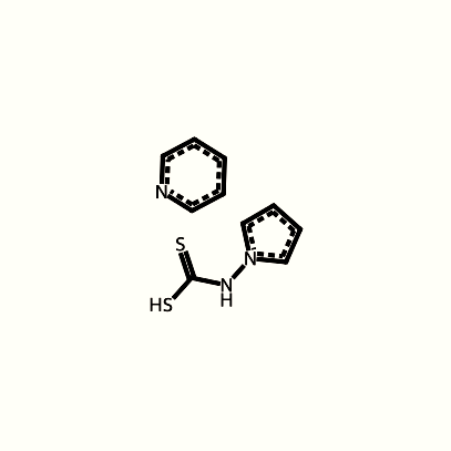 S=C(S)Nn1cccc1.c1ccncc1